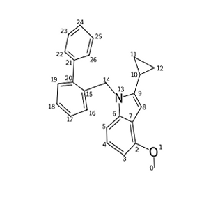 COc1cccc2c1cc(C1CC1)n2Cc1ccccc1-c1ccccc1